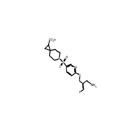 NC/C(=C/F)COc1ccc(S(=O)(=O)N2CCC3(CC2)CC3C(=O)O)cn1